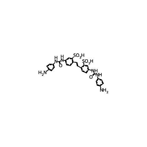 Nc1ccc(NC(=O)Nc2ccc(C=Cc3ccc(NC(=O)Nc4ccc(N)cc4)cc3S(=O)(=O)O)c(S(=O)(=O)O)c2)cc1